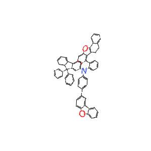 c1ccc(C2(c3ccccc3)c3ccccc3-c3ccc(N(c4ccc(-c5ccc6oc7ccccc7c6c5)cc4)c4ccccc4-c4cccc5oc6c7ccccc7ccc6c45)cc32)cc1